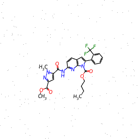 CCCCOC(=O)n1c(-c2ccccc2C(F)(F)F)cc2ccc(NC(=O)c3cc(C(=O)OC)nn3C)nc21